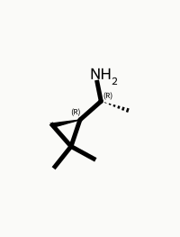 C[C@@H](N)[C@@H]1CC1(C)C